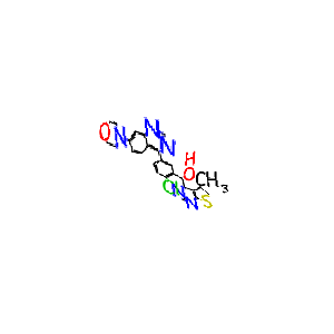 CC1CSc2ncnc(C(O)c3cc(-c4ncnc5cc(N6CCOCC6)ccc45)ccc3Cl)c21